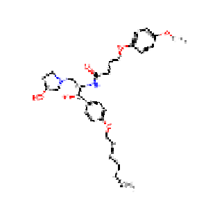 CCCCCCOc1ccc([C@@H](O)[C@@H](CN2CC[C@H](O)C2)NC(=O)CCCOc2ccc(OC)cc2)cc1